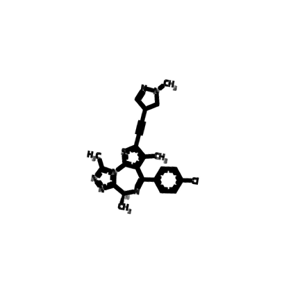 Cc1c(C#CC2C=NN(C)C2)sc2c1C(c1ccc(Cl)cc1)=N[C@@H](C)c1nnc(C)n1-2